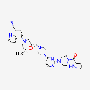 C[C@@H]1CN(c2ccc(C#N)c3ncccc23)C[C@H](CN2CCN(c3ccnc(N4CCN(C(=O)C5CCCN5)CC4)n3)CC2)O1